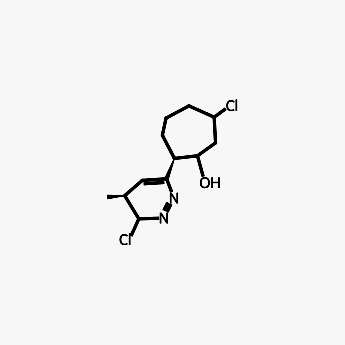 C[C@H]1C=C([C@H]2CCCC(Cl)CC2O)N=NC1Cl